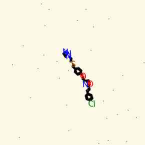 Clc1ccc(C=Cc2nc(COc3ccc(CSCCn4ccnn4)cc3)co2)cc1